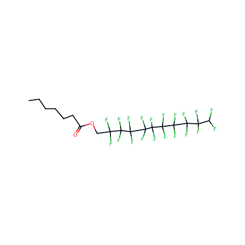 CCCCCCC(=O)OCC(F)(F)C(F)(F)C(F)(F)C(F)(F)C(F)(F)C(F)(F)C(F)(F)C(F)(F)C(F)(F)C(F)F